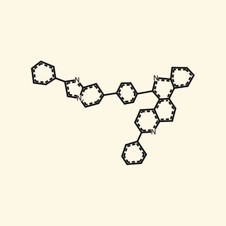 c1ccc(-c2ccc3c(ccc4c5ccccc5nc(-c5ccc(-c6ccn7cc(-c8ccccc8)nc7c6)cc5)c34)n2)cc1